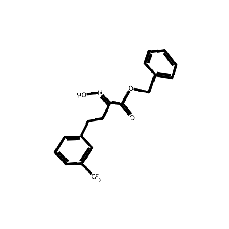 O=C(OCc1ccccc1)C(CCc1cccc(C(F)(F)F)c1)=NO